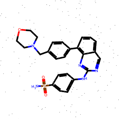 NS(=O)(=O)c1ccc(Nc2ncc3cccc(-c4ccc(CN5CCOCC5)cc4)c3n2)cc1